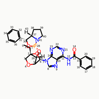 CC[C@@]12COC([C@H](n3cnc4c(NC(=O)c5ccccc5)ncnc43)O1)[C@H]2O[P@@]1O[C@H](c2ccccc2)[C@@H]2CCCN21